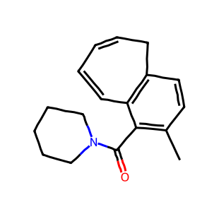 Cc1ccc2c(c1C(=O)N1CCCCC1)C=CC=CC2